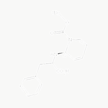 CC(C)(C)OC(=O)N1C=CC=C[C@H]1NC(Cc1ccccc1)C(=O)O